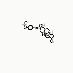 COC1CC[C@H]2[C@@H]3CCC4CC(O)(C#Cc5ccc(OC(C)=O)cc5)CC[C@]4(C)[C@@H]3CC[C@]12C